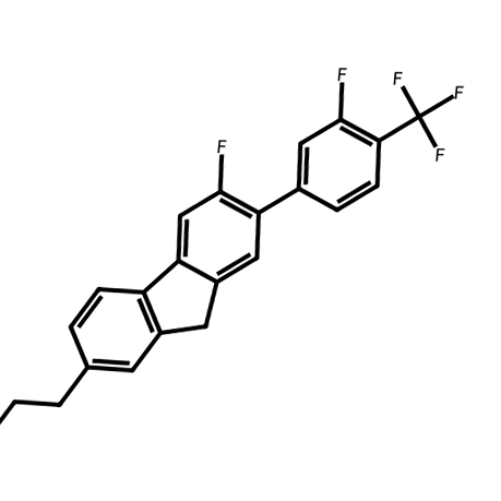 CCCc1ccc2c(c1)Cc1cc(-c3ccc(C(F)(F)F)c(F)c3)c(F)cc1-2